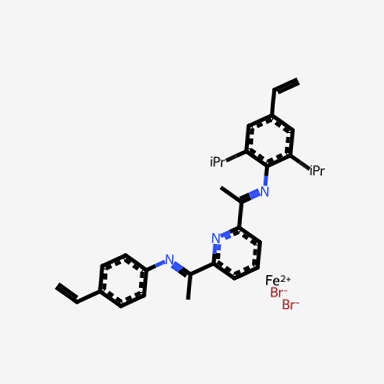 C=Cc1ccc(/N=C(\C)c2cccc(/C(C)=N/c3c(C(C)C)cc(C=C)cc3C(C)C)n2)cc1.[Br-].[Br-].[Fe+2]